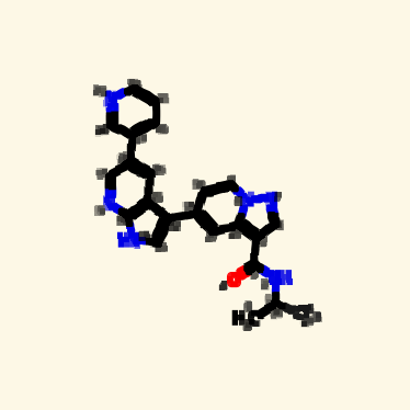 C[C@@H](NC(=O)c1cnn2ccc(-c3c[nH]c4ncc(-c5cccnc5)cc34)cc12)C(F)(F)F